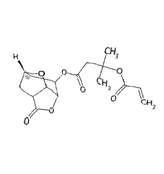 C=CC(=O)OC(C)(C)CC(=O)OC1C2OC(=O)C3C[C@@H]1OC32